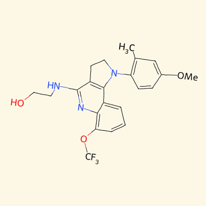 COc1ccc(N2CCc3c(NCCO)nc4c(OC(F)(F)F)cccc4c32)c(C)c1